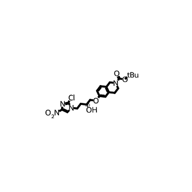 CC(C)(C)OC(=O)N1CCc2cc(OC[C@H](O)CCn3cc([N+](=O)[O-])nc3Cl)ccc2C1